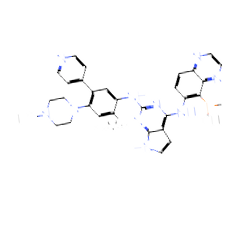 COc1cc(N2CCN(C)CC2)c(-c2ccncc2)cc1Nc1nc(Nc2ccc3nccnc3c2P(C)C)c2cc[nH]c2n1